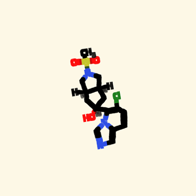 CS(=O)(=O)N1C[C@@H]2C[C@](O)(c3c(Cl)ccc4cncn34)C[C@@H]2C1